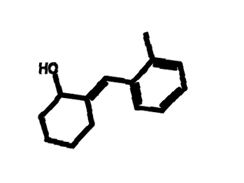 Cc1ccccc1/C=C1\CCCCC1O